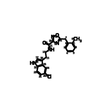 Cc1ccccc1Cc1nc(C(=O)NCCc2c[nH]c3ccc(Cl)cc23)no1